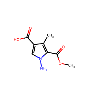 COC(=O)c1c(C)c(C(=O)O)cn1N